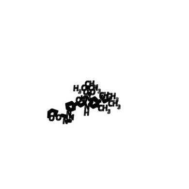 Cc1cc(NC(=O)CC(=O)c2cccc(-n3ncnc3COC3CCCCO3)c2)c(NC(=O)OC(C)(C)C)cc1N(C)CC(C)C